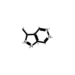 CC1N=Nc2cnncc21